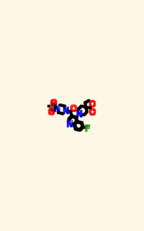 CS(=O)(=O)N1CCN(C(=O)c2cnc3ccc(F)cc3c2N2CCC3(CCOC3=O)CC2)CC1